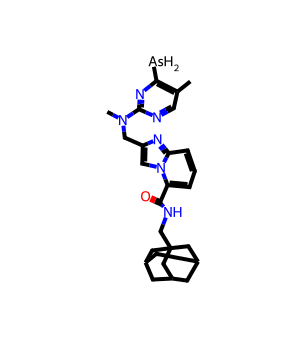 Cc1cnc(N(C)Cc2cn3c(C(=O)NCC45CC6CC(CC(C6)C4)C5)cccc3n2)nc1[AsH2]